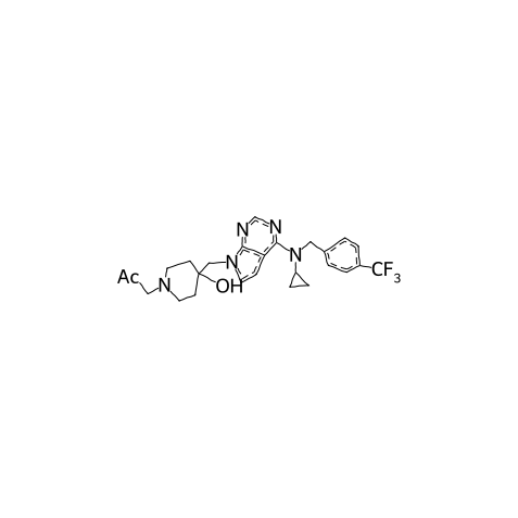 CC(=O)CN1CCC(O)(Cn2ccc3c(N(Cc4ccc(C(F)(F)F)cc4)C4CC4)ncnc32)CC1